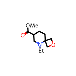 CCN1CC(C(=O)OC)CCC12COC2